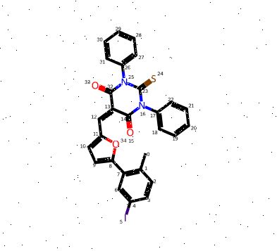 Cc1ccc(I)cc1-c1ccc(C=C2C(=O)N(c3ccccc3)C(=S)N(c3ccccc3)C2=O)o1